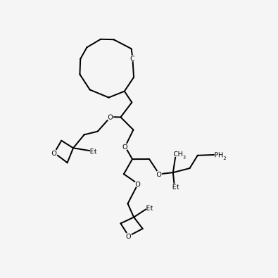 CCC1(CCOC(COC(COCC2(CC)COC2)COC(C)(CC)CCP)CC2CCCCCCCCCC2)COC1